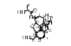 C[C@H](O)C(=O)OC1=CC[C@@]2(O)[C@H]3Cc4ccc(CO)c5c4C2(CCN3C)C1O5